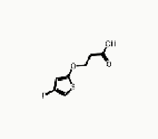 O=C(O)CCOc1cc(F)cs1